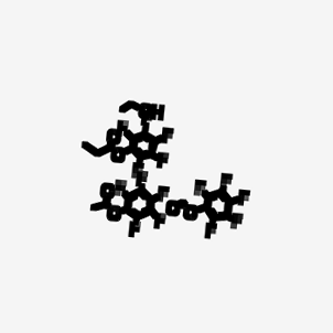 CC(=O)Oc1c(F)c(F)c(F)c(F)c1F.CCC(=O)Oc1c(F)c(F)c(F)c(F)c1F.CCO.O=COc1c(F)c(F)c(F)c(F)c1F